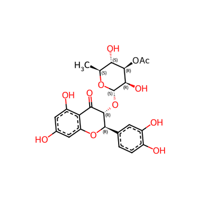 CC(=O)O[C@@H]1[C@@H](O)[C@H](C)O[C@@H](O[C@H]2C(=O)c3c(O)cc(O)cc3O[C@@H]2c2ccc(O)c(O)c2)[C@@H]1O